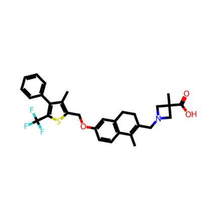 CC1=C(CN2CC(C)(C(=O)O)C2)CCc2cc(OCc3sc(C(F)(F)F)c(-c4ccccc4)c3C)ccc21